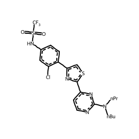 CCCCN(CCC)c1nccc(-c2nc(-c3ccc(NS(=O)(=O)C(F)(F)F)cc3Cl)cs2)n1